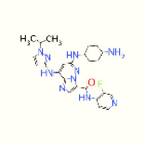 CC(C)n1ccc(Nc2cc(NC3CCC(N)CC3)nn3c(C(=O)Nc4ccncc4F)cnc23)n1